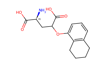 N[C@@H](CC(Oc1cccc2c1CCCC2)C(=O)O)C(=O)O